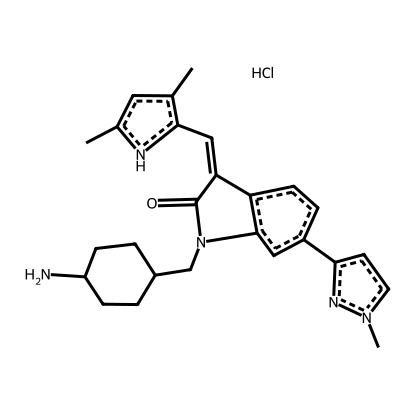 Cc1cc(C)c(/C=C2\C(=O)N(CC3CCC(N)CC3)c3cc(-c4ccn(C)n4)ccc32)[nH]1.Cl